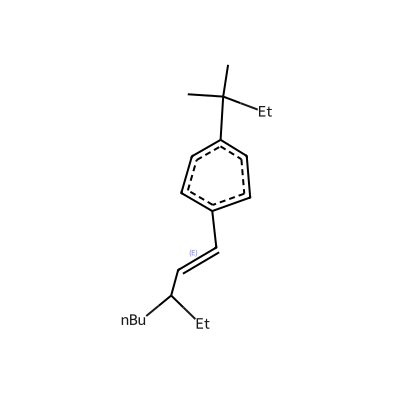 CCCCC(/C=C/c1ccc(C(C)(C)CC)cc1)CC